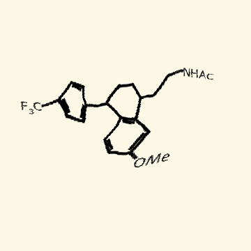 COc1ccc2c(c1)C(CCNC(C)=O)CCC2c1ccc(C(F)(F)F)cc1